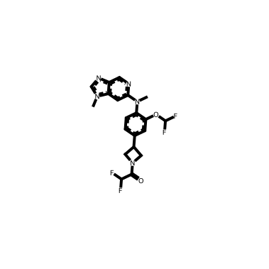 CN(c1cc2c(cn1)ncn2C)c1ccc(C2CN(C(=O)C(F)F)C2)cc1OC(F)F